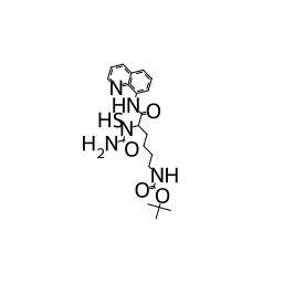 CC(C)(C)OC(=O)NCCCCC(C(=O)Nc1cccc2cccnc12)N(S)C(N)=O